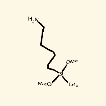 CO[Si](C)(CCCCN)OC